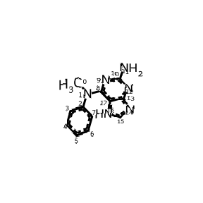 CN(c1ccccc1)c1nc(N)nc2nc[nH]c12